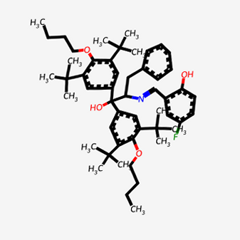 CCCCOc1c(C(C)(C)C)cc(C(O)(c2cc(C(C)(C)C)c(OCCCC)c(C(C)(C)C)c2)C(Cc2ccccc2)N=Cc2cc(F)ccc2O)cc1C(C)(C)C